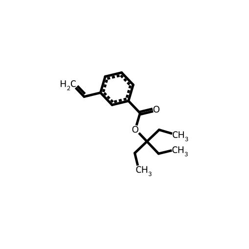 C=Cc1cccc(C(=O)OC(CC)(CC)CC)c1